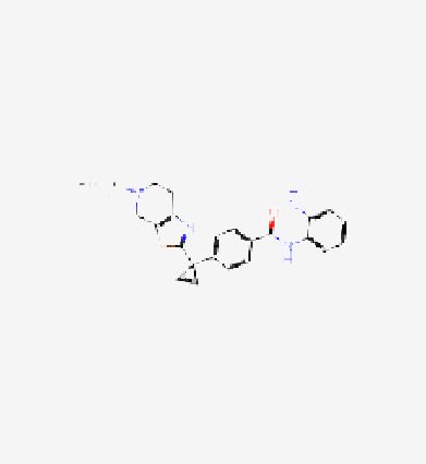 CCOC(=O)N1CCc2nc(C3(c4ccc(C(=O)Nc5ccccc5N)cc4)C=C3)sc2C1